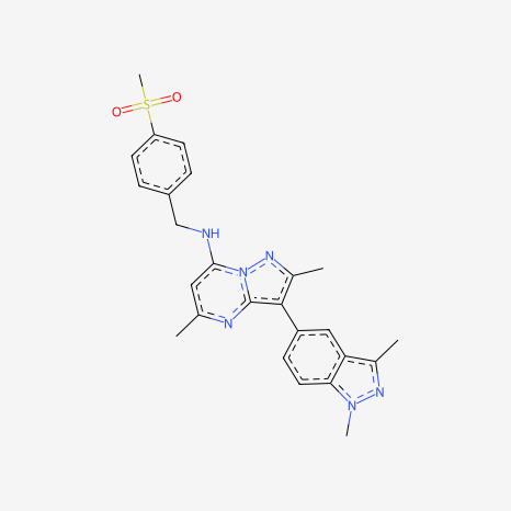 Cc1cc(NCc2ccc(S(C)(=O)=O)cc2)n2nc(C)c(-c3ccc4c(c3)c(C)nn4C)c2n1